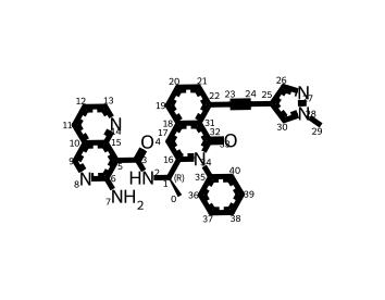 C[C@@H](NC(=O)c1c(N)ncc2cccnc12)c1cc2cccc(C#Cc3cnn(C)c3)c2c(=O)n1-c1ccccc1